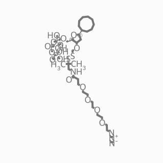 CC(C)(CNC(=O)CCOCCOCCOCCOCCN=[N+]=[N-])SSCOC1C[C@H](C2CCCCCCCC2)O[C@@H]1COP(=O)(O)OP(=O)(O)OP(=O)(O)O